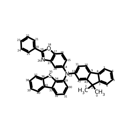 CC1(C)c2ccccc2-c2ccc(N(c3ccc4oc(-c5ccccc5)nc4c3)c3cccc4c3sc3ccccc34)cc21